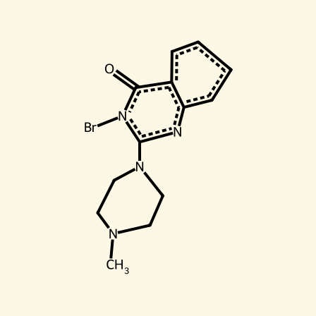 CN1CCN(c2nc3ccccc3c(=O)n2Br)CC1